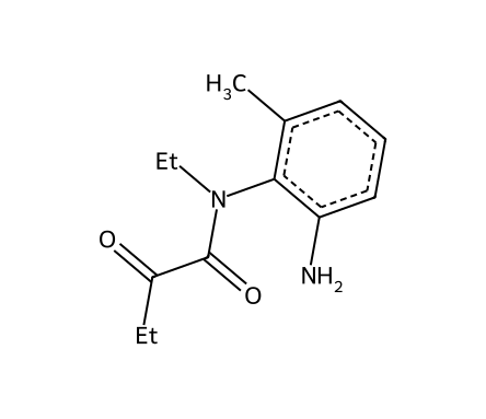 CCC(=O)C(=O)N(CC)c1c(C)cccc1N